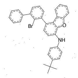 CC(C)(C)c1ccc(Nc2ccc(-c3cccc(-c4ccccc4)c3Br)c3c2oc2ccccc23)cc1